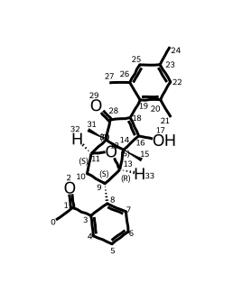 CC(=O)c1ccccc1[C@@H]1C[C@@H]2O[C@H]1[C@@]1(C)C(O)=C(c3c(C)cc(C)cc3C)C(=O)[C@@]21C